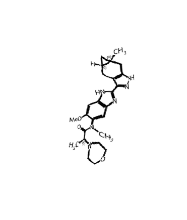 COc1cc2[nH]c(-c3n[nH]c4c3C[C@@H]3C[C@]3(C)C4)nc2cc1N(C)C(=O)[C@H](C)N1CCOCC1